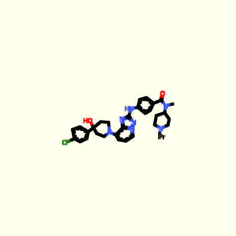 CC(C)N1CCC(N(C)C(=O)c2ccc(Nc3nc4c(N5CCC(O)(c6ccc(Cl)cc6)CC5)cccn4n3)cc2)CC1